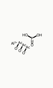 CC(=O)[O-].CC(=O)[O-].CC(=O)[O-].O=[PH](O)O.[Al+3]